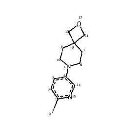 Ic1ccc(N2CCC3(CC2)COC3)cn1